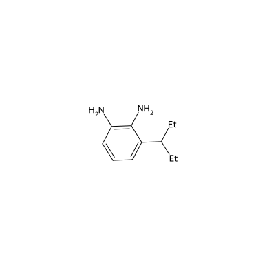 CCC(CC)c1cccc(N)c1N